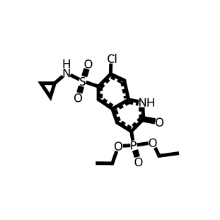 CCOP(=O)(OCC)c1cc2cc(S(=O)(=O)NC3CC3)c(Cl)cc2[nH]c1=O